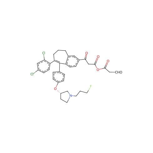 O=CCC(=O)OC(=O)CC(=O)c1ccc2c(c1)CCCC(c1ccc(Cl)cc1Cl)=C2c1ccc(O[C@H]2CCN(CCCF)C2)cc1